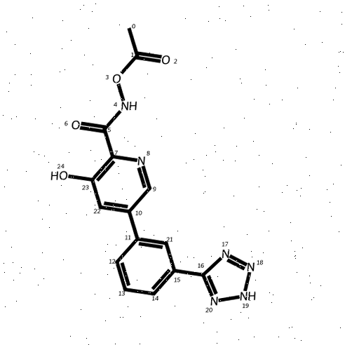 CC(=O)ONC(=O)c1ncc(-c2cccc(-c3nn[nH]n3)c2)cc1O